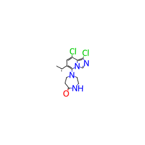 C[CH]c1cc(Cl)c2c(Cl)ncn2c1N1CCNC(=O)CC1